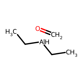 C=O.C[CH2][AlH][CH2]C